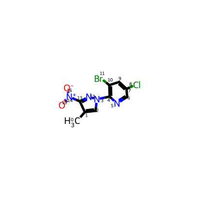 Cc1cn(-c2ncc(Cl)cc2Br)nc1[N+](=O)[O-]